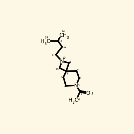 CC(=O)N1CCC2(CC1)CN(CCC(C)C)C2